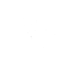 CCOC(=O)C1C2C(=O)OC3C(I)C1C1(CC1)C32